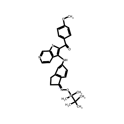 COc1ccc(C(=O)c2sc3cnccc3c2Nc2ccc3c(c2)CC/C3=N/O[Si](C)(C)C(C)(C)C)cc1